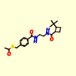 CC(=O)SCc1ccc(C(=O)NCCNC(=O)C2CCC2C(C)(C)C)cc1